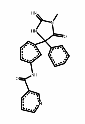 CN1C(=N)NC(c2ccccc2)(c2cccc(NC(=O)c3cccnc3)c2)C1=O